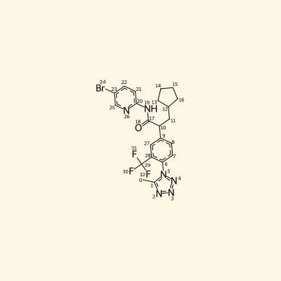 Cc1nnnn1-c1ccc(C(CC2CCCC2)C(=O)Nc2ccc(Br)cn2)cc1C(F)(F)F